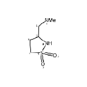 CNCC1CCS(=O)(=O)N1